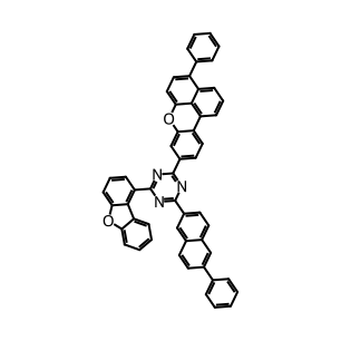 c1ccc(-c2ccc3cc(-c4nc(-c5ccc6c(c5)Oc5ccc(-c7ccccc7)c7cccc-6c57)nc(-c5cccc6oc7ccccc7c56)n4)ccc3c2)cc1